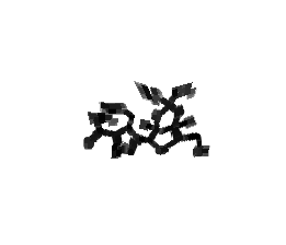 CC1(C)O[C@@H]2[C@H](O1)[C@@H](CO)O[C@H]2n1cnc(C(N)=O)c1CC#N